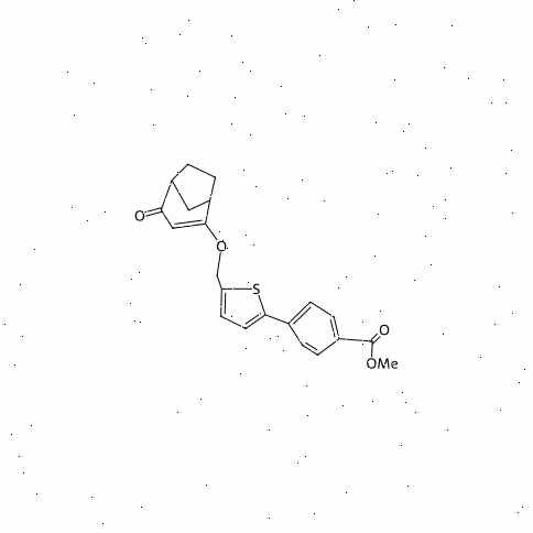 COC(=O)c1ccc(-c2ccc(COC3=CC(=O)C4CCC3C4)s2)cc1